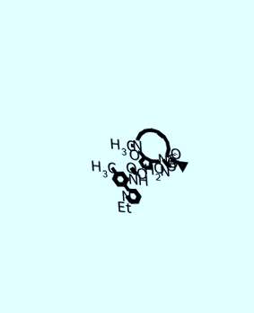 CCc1cccc(-c2ccc(C)cc2NC(=O)OC2CC3C(=O)N(C)CCCCC=CCCC(S(=O)(=O)C4CC4)N(C(N)=O)C(=O)C3C2)n1